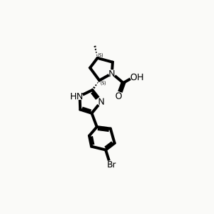 C[C@H]1C[C@@H](c2nc(-c3ccc(Br)cc3)c[nH]2)N(C(=O)O)C1